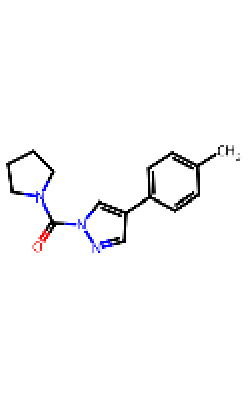 Cc1ccc(-c2cnn(C(=O)N3CCCC3)c2)cc1